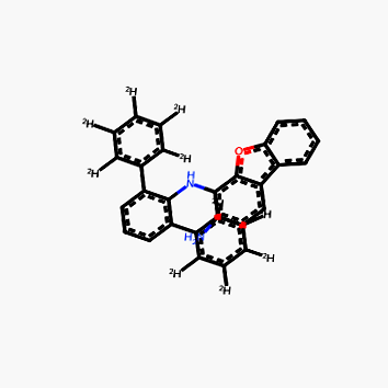 [2H]c1c([2H])c([2H])c(-c2cccc(-c3c([2H])c([2H])c([2H])c([2H])c3[2H])c2Nc2c(N)ccc3c2oc2ccccc23)c([2H])c1[2H]